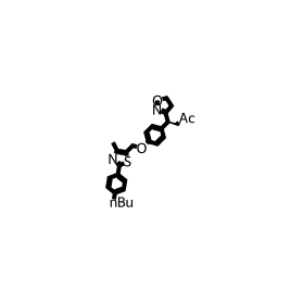 CCCCc1ccc(-c2nc(C)c(COc3ccc([C@H](CC(C)=O)C4=NOCC4)cc3)s2)cc1